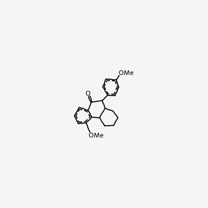 COc1ccc(C2C(=O)c3cccc(OC)c3C3CCCCC32)cc1